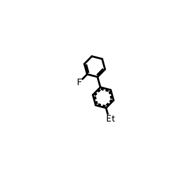 CCc1ccc(C2=CCCC=C2F)cc1